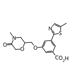 Cc1cnc(-c2cc(OCC3CN(C)C(=O)CO3)cc(C(=O)O)c2)s1